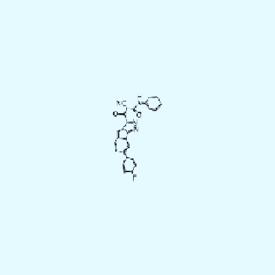 N#CC(C(=O)Nc1ccccc1)C(=O)C1=NN=C2C1=Cc1ccc(C3C=CC(F)C=C3)cc12